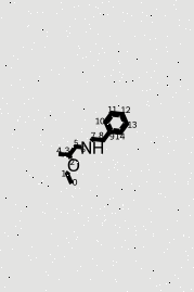 CCOC(C)CNCCc1ccccc1